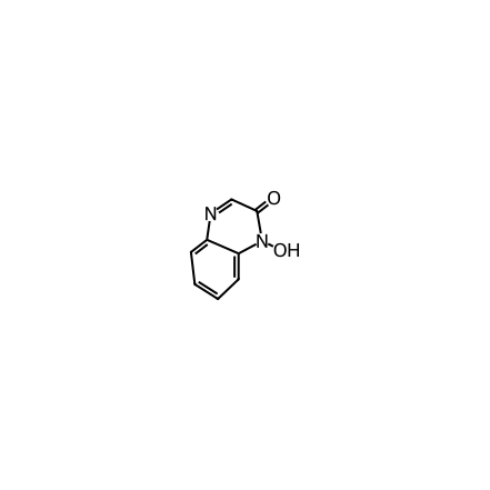 O=c1cnc2ccccc2n1O